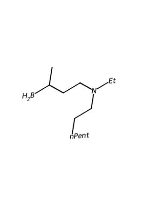 BC(C)CCN(CC)CCCCCCC